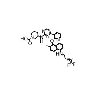 Cc1ccc2c(NCC[C@H]3CC3(F)F)cccc2c1Oc1ncccc1-c1ccnc(N[C@H]2CCCN(C(=O)O)C2)n1